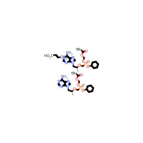 C[C@H](Cn1cnc2c(N)ncnc21)OCP(=O)(OCOC(=O)C(C)(C)C)Oc1ccccc1.C[C@H](Cn1cnc2c(N)ncnc21)OCP(=O)(OCOC(=O)C(C)(C)C)Oc1ccccc1.O=C(O)/C=C/C(=O)O